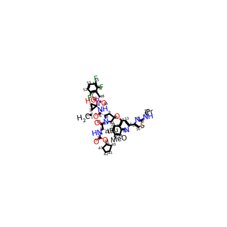 C=C[C@@H]1C[C@]1(NC(=O)[C@@H]1C[C@@H](Oc2cc(-c3csc(NC(C)C)n3)nc3cc(OC)ccc23)CN1C(=O)[C@@H](NC(=O)OC1CCCC1)C(C)(C)C)P(=O)(O)Cc1c(F)ccc(F)c1F